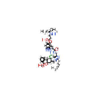 CCCCc1nc(CNC(=O)c2cc3c(OC(O)CCNC(C)C)cccc3[nH]2)c(Cl)n1Cc1ccc(-c2ccccc2C(=O)O)cc1